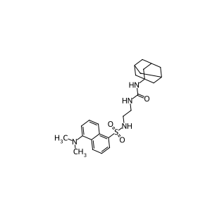 CN(C)c1cccc2c(S(=O)(=O)NCCNC(=O)NC34CC5CC(CC(C5)C3)C4)cccc12